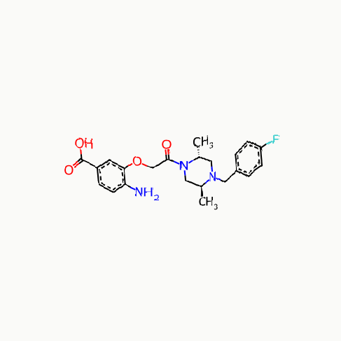 C[C@@H]1CN(Cc2ccc(F)cc2)[C@@H](C)CN1C(=O)COc1cc(C(=O)O)ccc1N